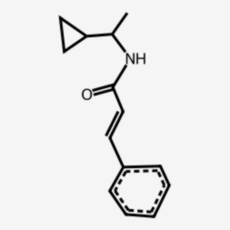 CC(NC(=O)/C=C/c1ccccc1)C1CC1